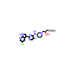 COCC(O)CN1CCC[C@H](Nc2nc(-c3c[nH]c4ncc(Cl)cc34)ncc2F)C1